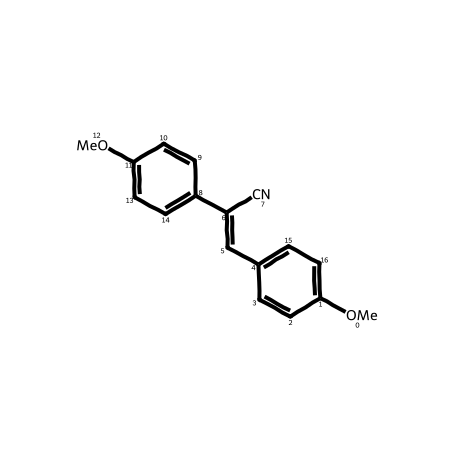 COc1ccc(/C=C(\C#N)c2ccc(OC)cc2)cc1